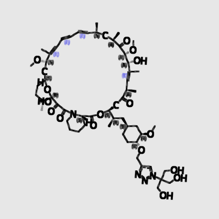 CO[C@H]1C[C@@H]2CC[C@@H](C)[C@@](O)(O2)C(=O)C(=O)N2CCCC[C@H]2C(=O)O[C@H]([C@H](C)C[C@@H]2CC[C@@H](OCc3cn(C(CO)(CO)CO)nn3)[C@H](OC)C2)CC(=O)[C@H](C)/C=C(\C)[C@@H](O)[C@@H](OC)C(=O)[C@H](C)C[C@H](C)/C=C/C=C/C=C/1C